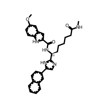 CNC(=O)CCCCC[C@H](NC(=O)c1cc2cc(OC)ccc2[nH]1)c1ncc(-c2ccc3ccccc3c2)[nH]1